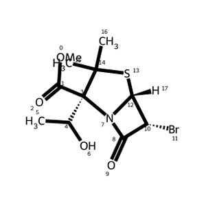 COC(=O)[C@]1(C(C)O)N2C(=O)[C@@H](Br)[C@H]2SC1(C)C